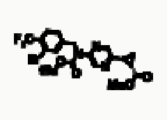 COC(=O)[C@H]1C[C@@H]1c1cnc(N(Cc2ccc(C(F)(F)F)c(Br)c2)C(=O)OC(C)(C)C)cn1